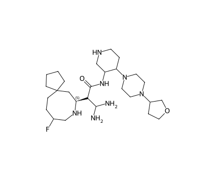 NC(N)C(C(=O)NC1CNCCC1N1CCN(C2CCOC2)CC1)[C@@H]1CC2(CCCC2)CCC(F)CN1